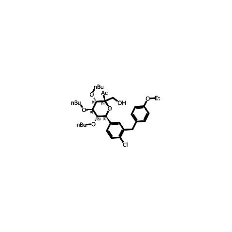 CCCCO[C@@H]1[C@@H](OCCCC)[C@H](OCCCC)[C@@](CO)(C(C)=O)O[C@H]1c1ccc(Cl)c(Cc2ccc(OCC)cc2)c1